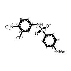 CNc1ccc(S(=O)(=O)Nc2ccc([N+](=O)[O-])c(Cl)c2)cc1